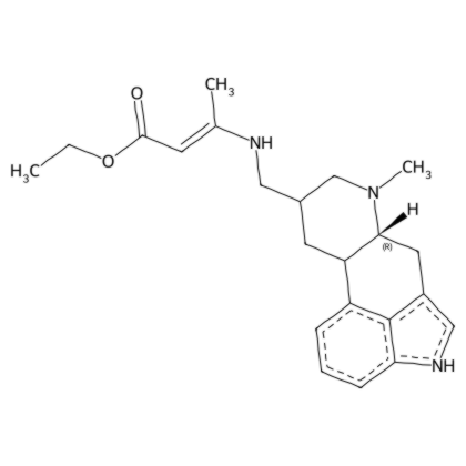 CCOC(=O)C=C(C)NCC1CC2c3cccc4[nH]cc(c34)C[C@H]2N(C)C1